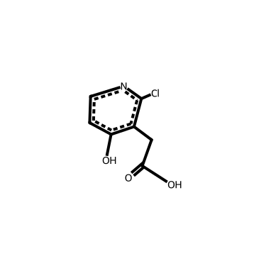 O=C(O)Cc1c(O)ccnc1Cl